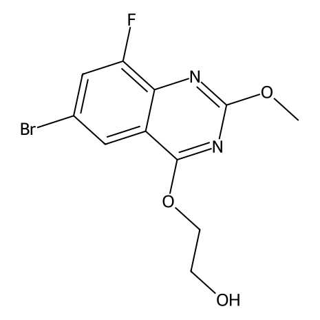 COc1nc(OCCO)c2cc(Br)cc(F)c2n1